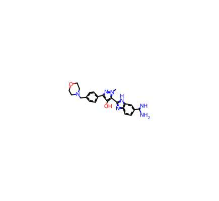 Cn1nc(-c2ccc(CN3CCOCC3)cc2)c(O)c1-c1nc2ccc(C(=N)N)cc2[nH]1